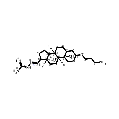 C[C@]12CCC(OCCCN)CC1CC[C@@H]1[C@H]2CC[C@]2(C)C(/C=N/NC(=N)N)CC[C@@]12O